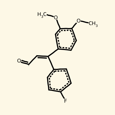 COc1ccc(C(=C[C]=O)c2ccc(F)cc2)cc1OC